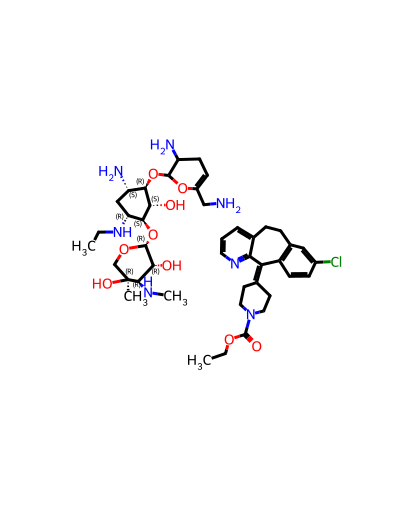 CCN[C@@H]1C[C@H](N)[C@@H](OC2OC(CN)=CCC2N)[C@H](O)[C@H]1O[C@H]1OC[C@](C)(O)[C@H](NC)[C@H]1O.CCOC(=O)N1CCC(=C2c3ccc(Cl)cc3CCc3cccnc32)CC1